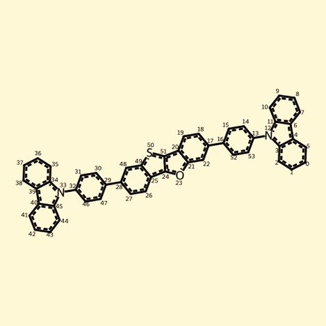 c1ccc2c(c1)c1ccccc1n2-c1ccc(-c2ccc3c(c2)oc2c4ccc(-c5ccc(-n6c7ccccc7c7ccccc76)cc5)cc4sc32)cc1